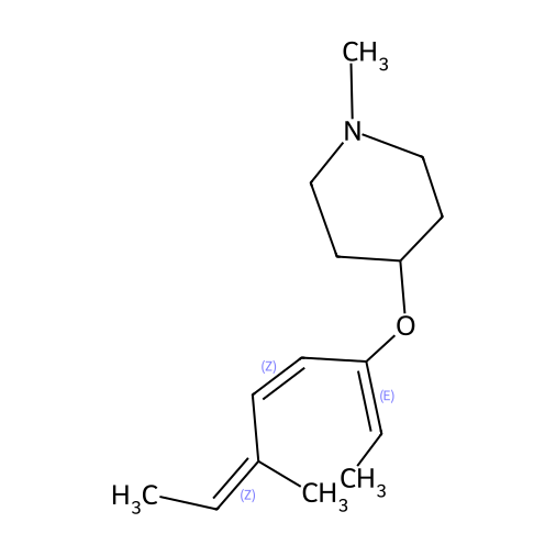 C\C=C(C)/C=C\C(=C/C)OC1CCN(C)CC1